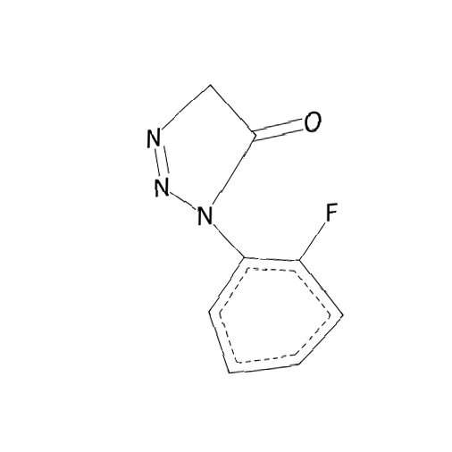 O=C1CN=NN1c1ccccc1F